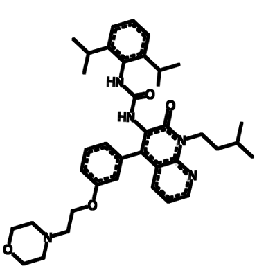 CC(C)CCn1c(=O)c(NC(=O)Nc2c(C(C)C)cccc2C(C)C)c(-c2cccc(OCCN3CCOCC3)c2)c2cccnc21